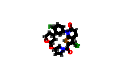 O=C(c1sc2c(ccc(=O)n2-c2ccc(F)cc2)c1Br)N1CC[C@H](OC2CCCCO2)C1